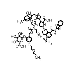 COCCN(CCOC12CC3(C)CC(C)(CC(Cn4ncc(-c5ccc(N6CCc7c(OC)ccc(C(=O)Nc8nc9ccccc9s8)c7C6)nc5C(=O)O)c4C)(C3)C1)C2)C(=O)OCc1ccc(OCCOCCN)cc1O[C@@H]1O[C@H](C(=O)O)[C@@H](O)[C@H](O)[C@H]1O